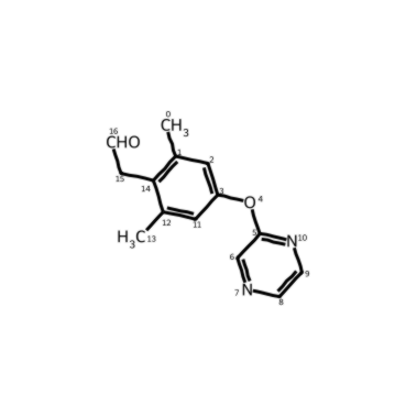 Cc1cc(Oc2cnccn2)cc(C)c1CC=O